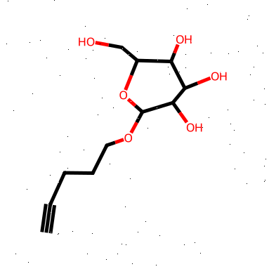 C#CCCCOC1OC(CO)C(O)C(O)C1O